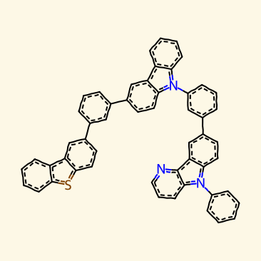 c1ccc(-n2c3ccc(-c4cccc(-n5c6ccccc6c6cc(-c7cccc(-c8ccc9sc%10ccccc%10c9c8)c7)ccc65)c4)cc3c3ncccc32)cc1